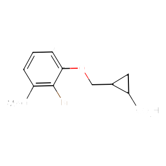 COc1cccc(OCC2CC2C(=O)O)c1Br